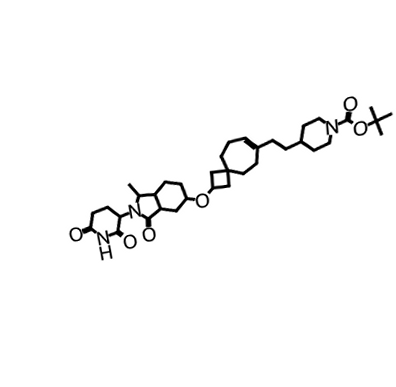 CC1C2CCC(OC3CC4(CCC=C(CCC5CCN(C(=O)OC(C)(C)C)CC5)CC4)C3)CC2C(=O)N1C1CCC(=O)NC1=O